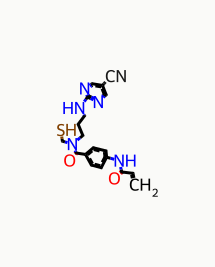 C=CC(=O)Nc1ccc(C(=O)N(CS)CCCNc2ncc(C#N)cn2)cc1